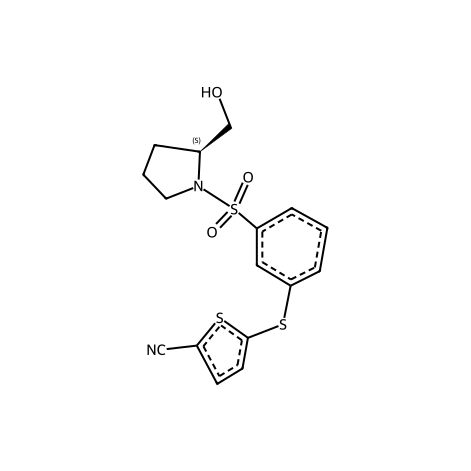 N#Cc1ccc(Sc2cccc(S(=O)(=O)N3CCC[C@H]3CO)c2)s1